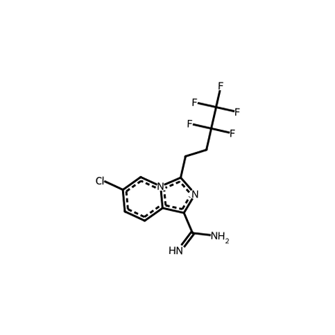 N=C(N)c1nc(CCC(F)(F)C(F)(F)F)n2cc(Cl)ccc12